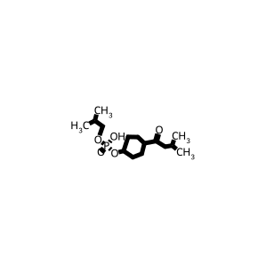 CC(C)COP(=O)(O)OC1CCC(C(=O)CC(C)C)CC1